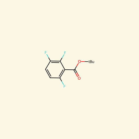 CC(C)(C)OC(=O)c1c(F)ccc(F)c1F